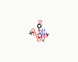 CCO[C@@H]1[C@@H](OC)O[C@H](COC(=O)C(C)(C)C)[C@@H](OCc2ccc(OC)cc2)[C@@H]1NOC(C)(C)C